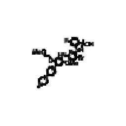 COCCOc1cc(Nc2ncc(Br)c(Nc3cc(F)ccc3C(C)(C)O)n2)c(OC)cc1N1CCC(N2CCN(C)CC2)CC1